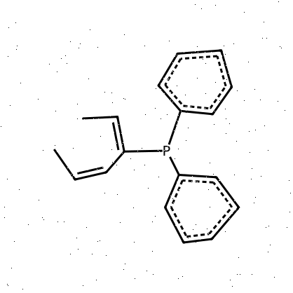 C/C=C\C(=C/C)P(c1ccccc1)c1ccccc1